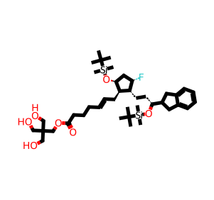 CC(C)(C)[Si](C)(C)O[C@H](CC[C@@H]1[C@@H](CC=CCCCC(=O)OCC(CO)(CO)CO)[C@H](O[Si](C)(C)C(C)(C)C)C[C@@H]1F)C1Cc2ccccc2C1